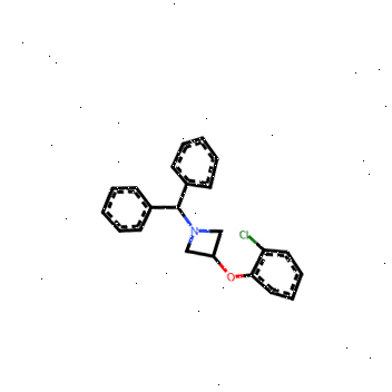 Clc1ccccc1OC1CN(C(c2ccccc2)c2ccccc2)C1